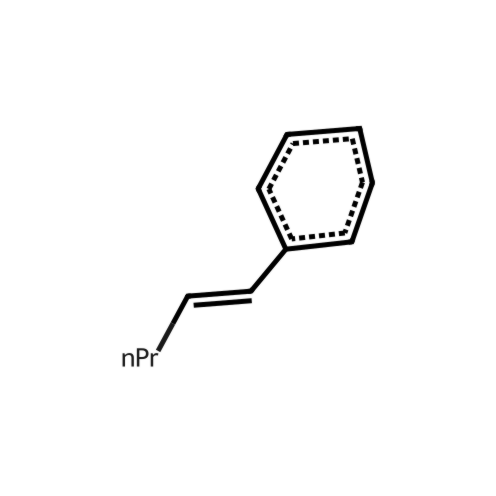 [CH2]CCC=Cc1ccccc1